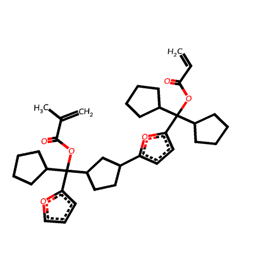 C=CC(=O)OC(c1ccc(C2CCC(C(OC(=O)C(=C)C)(c3ccco3)C3CCCC3)C2)o1)(C1CCCC1)C1CCCC1